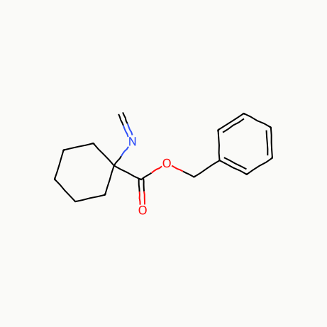 C=NC1(C(=O)OCc2ccccc2)CCCCC1